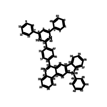 c1ccc(-c2cc(-c3ccccc3)nc(-c3ccc(-c4nc5ccccc5c5cc6c(cc45)c4ccccc4n6-c4ccccc4)cc3)n2)cc1